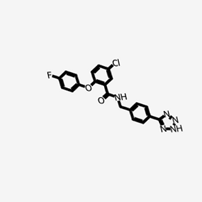 O=C(NCc1ccc(-c2nn[nH]n2)cc1)c1cc(Cl)ccc1Oc1ccc(F)cc1